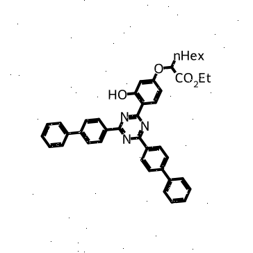 CCCCCCC(Oc1ccc(-c2nc(-c3ccc(-c4ccccc4)cc3)nc(-c3ccc(-c4ccccc4)cc3)n2)c(O)c1)C(=O)OCC